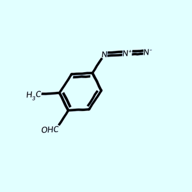 Cc1cc(N=[N+]=[N-])ccc1C=O